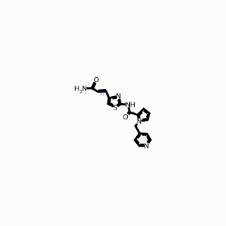 NC(=O)/C=C/c1csc(NC(=O)c2cccn2Cc2ccncc2)n1